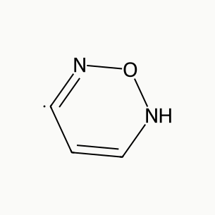 [C]1=NONC=C1